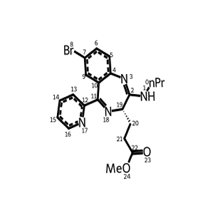 CCCNC1=Nc2ccc(Br)cc2C(c2ccccn2)=N[C@H]1CCC(=O)OC